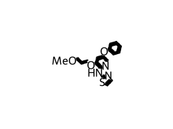 COCCCOc1cc(Oc2ccccc2)cnc1Nc1nccs1